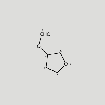 O=COC1CCOC1